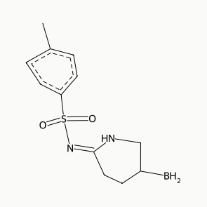 BC1CC/C(=N/S(=O)(=O)c2ccc(C)cc2)NC1